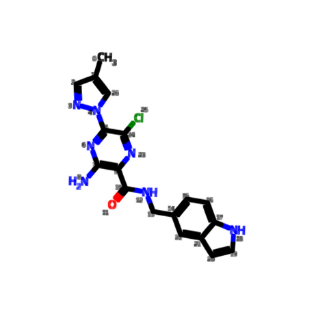 Cc1cnn(-c2nc(N)c(C(=O)NCc3ccc4[nH]ccc4c3)nc2Cl)c1